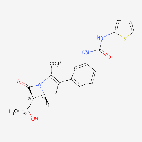 C[C@@H](O)[C@H]1C(=O)N2C(C(=O)O)=C(c3cccc(NC(=O)Nc4cccs4)c3)C[C@H]12